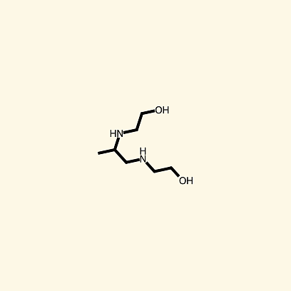 CC(CNCCO)NCCO